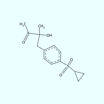 CC(=O)C(C)(O)Cc1ccc(S(=O)(=O)C2CC2)cc1